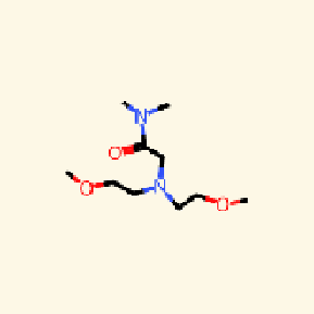 COCCN(CCOC)CC(=O)N(C)C